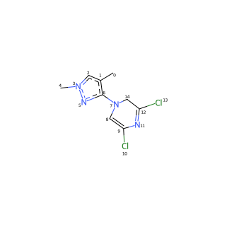 Cc1cn(C)nc1N1C=C(Cl)N=C(Cl)C1